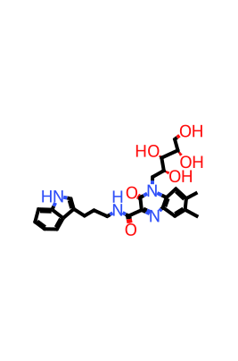 Cc1cc2nc(C(=O)NCCCc3c[nH]c4ccccc34)c(=O)n(C[C@H](O)[C@H](O)[C@H](O)CO)c2cc1C